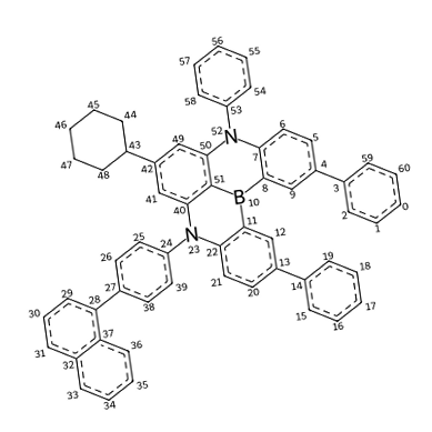 c1ccc(-c2ccc3c(c2)B2c4cc(-c5ccccc5)ccc4N(c4ccc(-c5cccc6ccccc56)cc4)c4cc(C5CCCCC5)cc(c42)N3c2ccccc2)cc1